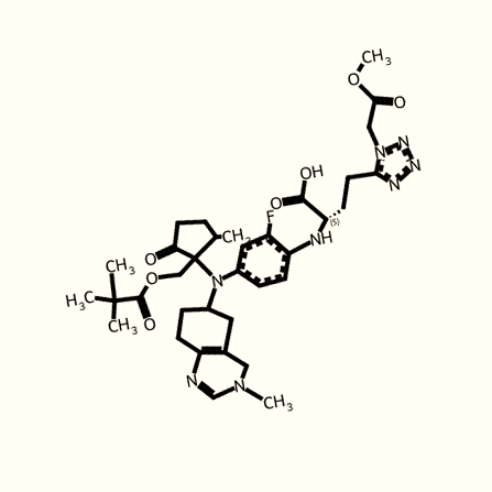 COC(=O)Cn1nnnc1CC[C@H](Nc1ccc(N(C2CCC3=C(C2)CN(C)C=N3)C2(COC(=O)C(C)(C)C)C(=O)CCC2C)cc1F)C(=O)O